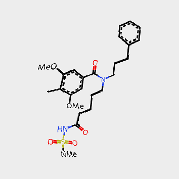 CNS(=O)(=O)NC(=O)CCCCN(CCCc1ccccc1)C(=O)c1cc(OC)c(C)c(OC)c1